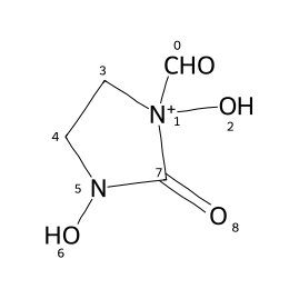 O=C[N+]1(O)CCN(O)C1=O